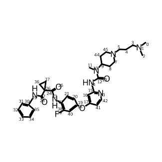 CN(C)CCCN1CCC(N(C)C(=O)Nc2cc(Oc3ccc(NC(=O)C4(C(=O)Nc5ccccc5)CC4)c(F)c3)ccn2)CC1